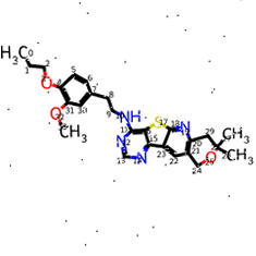 CCCOc1ccc(CCNc2ncnc3c2sc2nc4c(cc23)COC(C)(C)C4)cc1OC